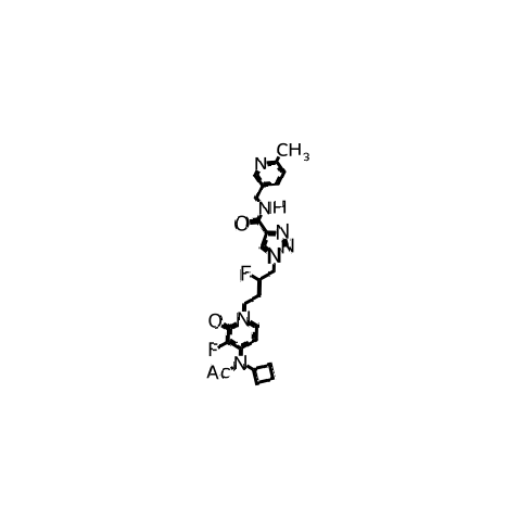 CC(=O)N(c1ccn(CCC(F)Cn2cc(C(=O)NCc3ccc(C)nc3)nn2)c(=O)c1F)C1CCC1